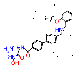 COc1ccccc1CNCc1ccc(-c2ccc(C(=O)N[C@@H](CN)C(=O)NO)cc2)cc1